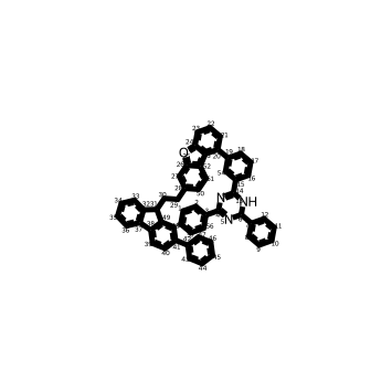 c1ccc(C2=NC(c3ccccc3)NC(c3cccc(-c4cccc5oc6cc(CCC7c8ccccc8-c8ccc(-c9ccccc9)cc87)ccc6c45)c3)=N2)cc1